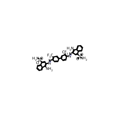 Nc1c(/N=N/c2ccc(-c3ccc(/N=N/c4cc(S(N)(=O)=O)c5ccccc5c4N)c(C(F)(F)F)c3)cc2C(F)(F)F)cc(S(N)(=O)=O)c2ccccc12